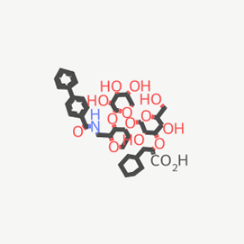 O=C(NCC1OCCC(OC2OC(CO)C(O)C(OC(CC3CCCCC3)C(=O)O)C2O)C1OC1OCC(O)C(O)C1O)c1ccc(-c2ccccc2)cc1